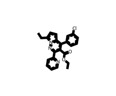 CCOC(=O)c1c(-c2ccccn2)nn2c(CC)ccc2c1-c1cccc(Cl)c1